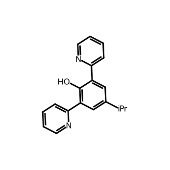 CC(C)c1cc(-c2ccccn2)c(O)c(-c2ccccn2)c1